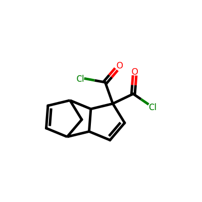 O=C(Cl)C1(C(=O)Cl)C=CC2C3C=CC(C3)C21